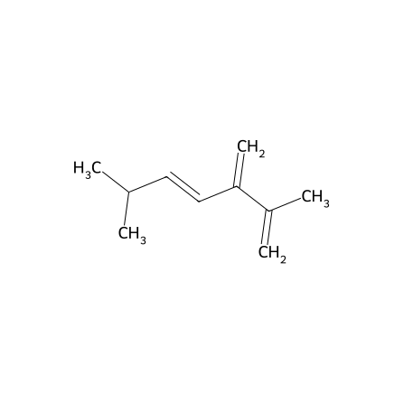 C=C(C)C(=C)C=CC(C)C